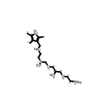 CCN(CCNCc1c(C)[nH]c(C)c1C)COCC(O)COCCNC